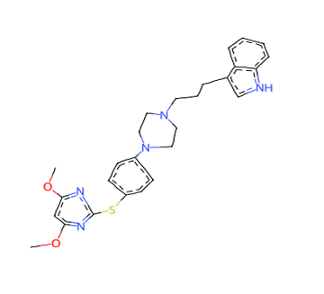 COc1cc(OC)nc(Sc2ccc(N3CCN(CCCc4c[nH]c5ccccc45)CC3)cc2)n1